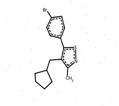 Cc1nsc(-c2ccc(Br)cc2)c1C[C]1CCCC1